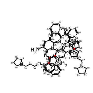 N=C1C=C(N)C(=Nc2c(OCCCN3CCCC3)nn3ccccc23)N(N2C(=Nc3c(OCCN4CCCC4)nn4ccccc34)C(=N)C=C(N)C2=Nc2c(OCCN3CCCC3)nn3ccccc23)C1=Nc1c(OCCCN2CCCC2)nn2ccccc12